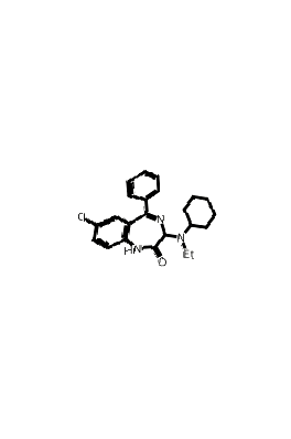 CCN(C1CCCCC1)C1N=C(c2ccccc2)c2cc(Cl)ccc2NC1=O